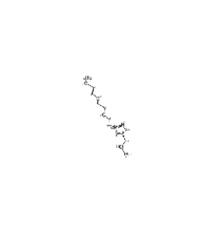 CC(C)(C)OCCOCCOCCn1cc(COC(C)(C)C)nn1